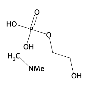 CNC.O=P(O)(O)OCCO